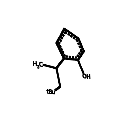 CC(CC(C)(C)C)c1ccccc1O